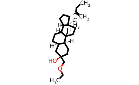 C=C(CC)[C@H]1CC[C@H]2[C@@H]3CC[C@@H]4C[C@@](O)(COCC)CC[C@@H]4[C@H]3CC[C@]12C